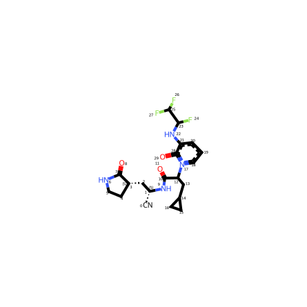 N#C[C@H](C[C@@H]1CCNC1=O)NC(=O)C(CC1CC1)n1cccc(NC(F)C(F)F)c1=O